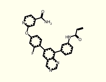 C=CC(=O)Nc1cccc(-c2cc(-c3ccc(Oc4cc(C(N)=O)ccn4)cc3F)cc3cncnc23)c1